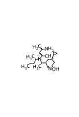 C=C(N)/C=C(\C)N(C(C)CCC)C(C)C(C#N)CC(CCO)C1CC1